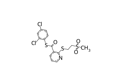 CS(=O)(=O)CCSc1ncccc1C(=O)Sc1ccc(Cl)cc1Cl